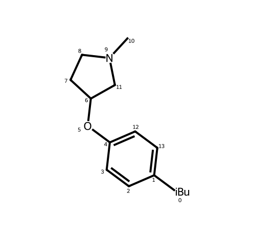 CCC(C)c1ccc(OC2CCN(C)C2)cc1